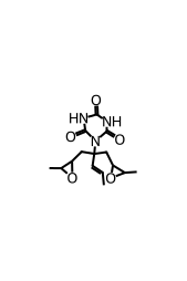 CC=CC(CC1OC1C)(CC1OC1C)n1c(=O)[nH]c(=O)[nH]c1=O